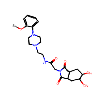 CCOc1ccccc1N1CCN(CCNC(=O)CN2C(=O)C3CC(O)C(O)CC3C2=O)CC1